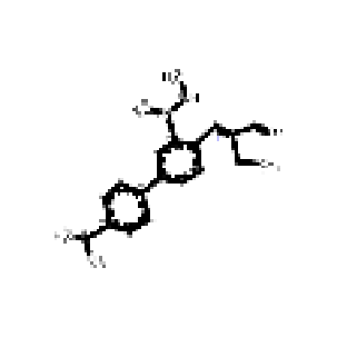 CC/C(C=O)=C\c1ccc(-c2ccc(C(C)C)cc2)cc1N(C)NC